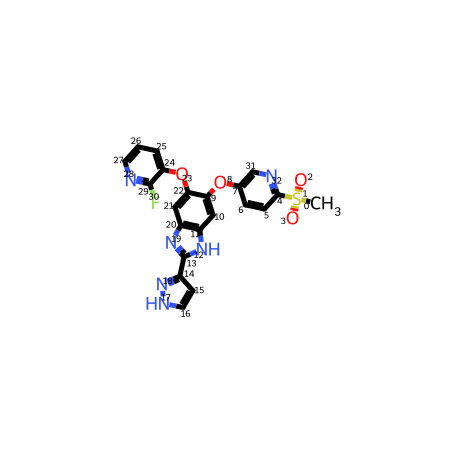 CS(=O)(=O)c1ccc(Oc2cc3[nH]c(-c4cc[nH]n4)nc3cc2Oc2cccnc2F)cn1